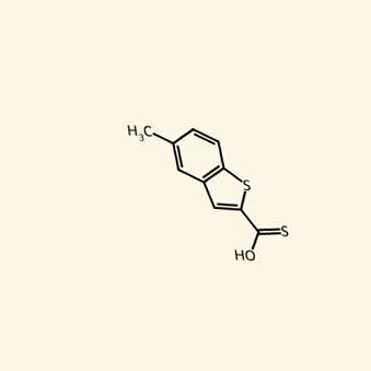 Cc1ccc2sc(C(O)=S)cc2c1